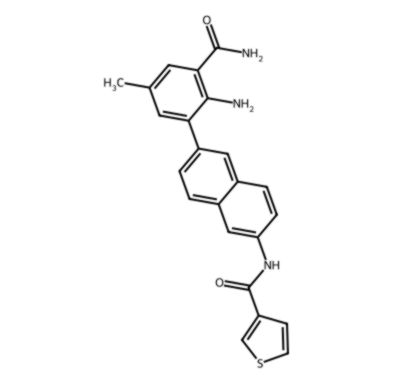 Cc1cc(C(N)=O)c(N)c(-c2ccc3cc(NC(=O)c4ccsc4)ccc3c2)c1